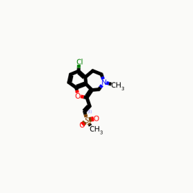 CN1CCc2c(Cl)ccc3oc(/C=C/S(C)(=O)=O)c(c23)C1